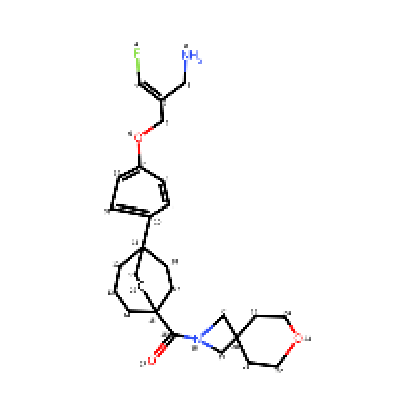 NCC(=CF)COc1ccc(C23CCCC(C(=O)N4CC5(CCOCC5)C4)(CC2)CC3)cc1